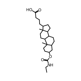 CCNC(=O)OC1CCC2(C)C(CCC3C4CCC(CCCC(=O)O)C4(C)CCC32)C1